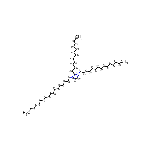 CCCCCCCCCCCCCCCCCC[n+]1ccn(CCCCCCCCCCCCCCC)c1CCCCCCCCCCCC